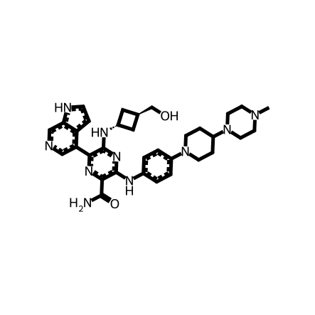 CN1CCN(C2CCN(c3ccc(Nc4nc(N[C@H]5C[C@H](CO)C5)c(-c5cncc6[nH]ccc56)nc4C(N)=O)cc3)CC2)CC1